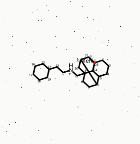 CNC1CCCC2C3CCC4(CNCCC5CCCCC5)CC3CCC124